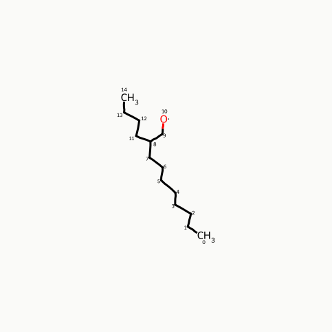 CCCCCCCCC(C[O])CCCC